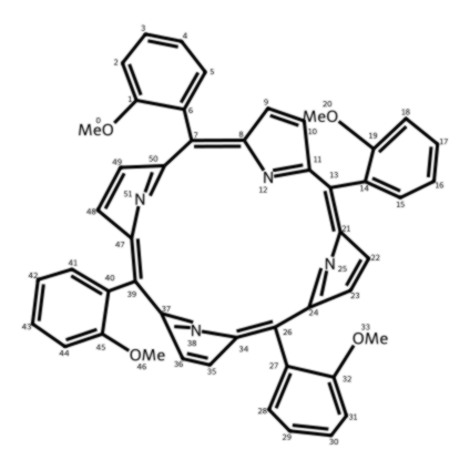 COc1ccccc1C1=C2C=CC(=N2)C(c2ccccc2OC)=C2C=CC(=N2)C(c2ccccc2OC)=C2C=CC(=N2)C(c2ccccc2OC)=C2C=CC1=N2